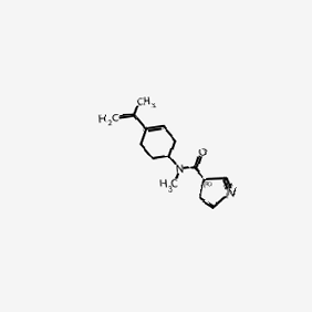 C=C(C)C1=CCC(N(C)C(=O)[C@H]2C=NCC2)CC1